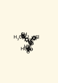 Cc1cc(C2CCC(N3C[C@H](CNc4c(O)c(=O)c4=O)OC[C@@H]3Cc3ccc(Cl)cc3)CC2)nn1C